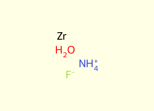 O.[F-].[NH4+].[Zr]